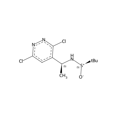 C[C@H](N[S@+]([O-])C(C)(C)C)c1cc(Cl)nnc1Cl